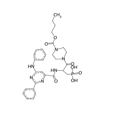 CCCCOC(=O)N1CCN(C(=O)C(CP(=O)(O)O)NC(=O)c2cc(Nc3ccccc3)nc(-c3ccccc3)n2)CC1